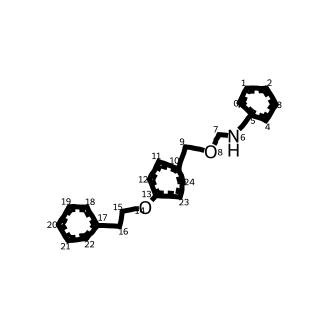 [c]1ccccc1NCOCc1ccc(OCCc2ccccc2)cc1